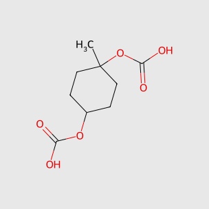 CC1(OC(=O)O)CCC(OC(=O)O)CC1